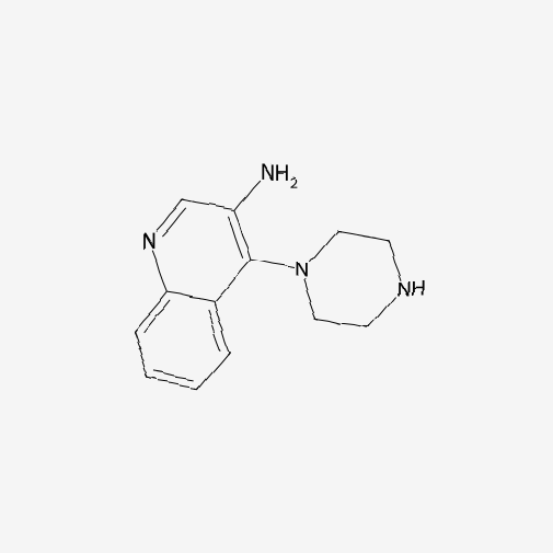 Nc1cnc2ccccc2c1N1CCNCC1